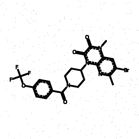 Cc1nc2c(cc1Br)n(C)c(=O)c(=O)n2C1CCN(C(=O)c2ccc(OC(F)(F)F)cc2)CC1